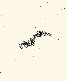 CNS(=O)(=O)c1cccc(OC[C@@H](O)CNC2COC3(CCN(S(=O)(=O)c4ccc5c(c4)CCCO5)CC3)C2)c1